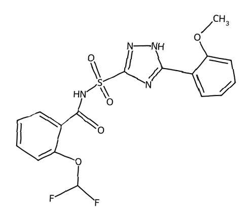 COc1ccccc1-c1nc(S(=O)(=O)NC(=O)c2ccccc2OC(F)F)n[nH]1